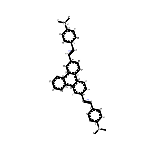 CN(C)c1ccc(/C=C/c2ccc3c4ccc(/C=C/c5ccc(N(C)C)cc5)cc4c4ccccc4c3c2)cc1